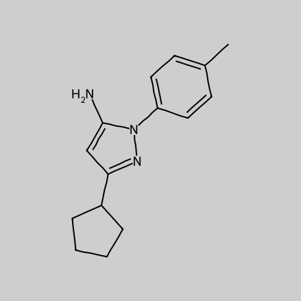 Cc1ccc(-n2nc(C3CCCC3)cc2N)cc1